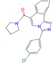 O=C(c1cn2c(-c3ccc(Cl)cc3)ncc2c2ccccc12)N1CCCC1